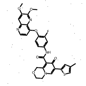 COc1cc2nccc(Oc3ccc(NC(=O)c4c5n(cc(-c6cc(C)cs6)c4=O)CCOC5)cc3F)c2nc1OC